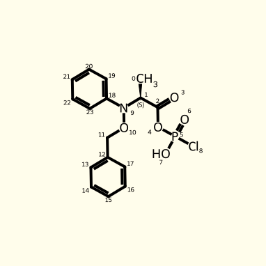 C[C@@H](C(=O)OP(=O)(O)Cl)N(OCc1ccccc1)c1ccccc1